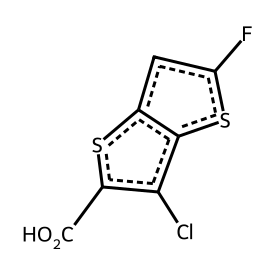 O=C(O)c1sc2cc(F)sc2c1Cl